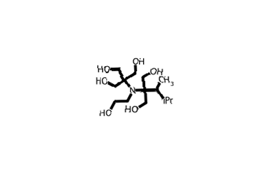 CC(C)C(C)C(CO)(CO)N(CCO)C(CO)(CO)CO